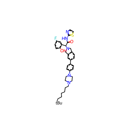 CC(C)(C)CCCCCCN1CCN(c2ccc(-c3ccc4c(c3)CN(C(C(=O)Nc3nccs3)c3cc(F)ccc3O)C4)cc2)CC1